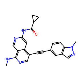 CNc1ncc(C#Cc2ccc3c(cnn3C)c2)c2cc(NC(=O)C3CC3)ncc12